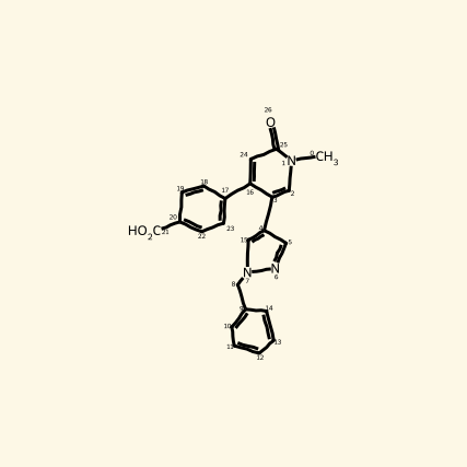 Cn1cc(-c2cnn(Cc3ccccc3)c2)c(-c2ccc(C(=O)O)cc2)cc1=O